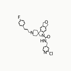 O=C(NCc1ccnc(Cl)c1)N1CC2(CCN(CC=Cc3ccc(F)cc3)CC2)c2cc3c(cc21)COC3